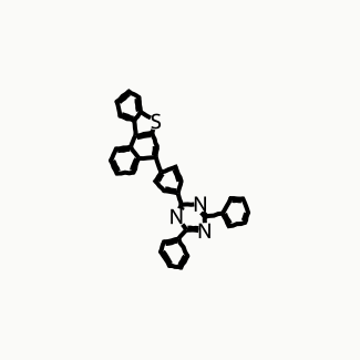 c1ccc(-c2nc(-c3ccccc3)nc(-c3ccc(-c4cc5sc6ccccc6c5c5ccccc45)cc3)n2)cc1